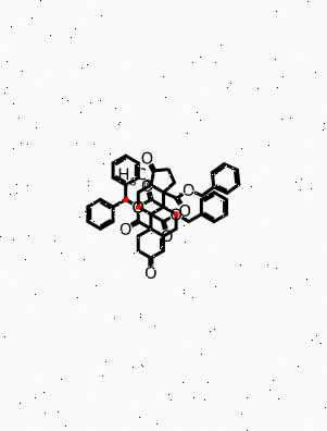 C[C@]12CCC3(C(=O)OCc4ccccc4)C4(C(=O)OCc5ccccc5)CCC(=O)C=C4CCC3(C(=O)OCc3ccccc3)C1(C(=O)OCc1ccccc1)CCC2=O